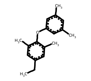 C[CH]c1cc(C)c(Oc2cc(C)cc(C)c2)c(C)c1